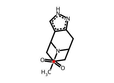 CS(=O)(=O)N1C2CCCC1c1c[nH]nc1C2